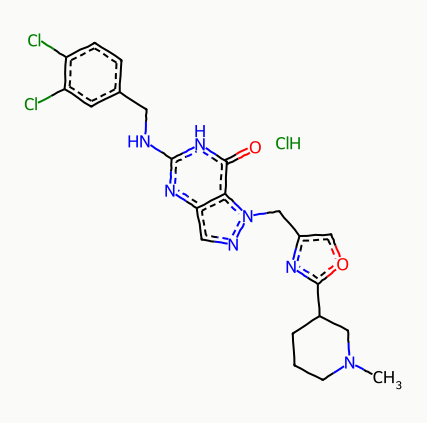 CN1CCCC(c2nc(Cn3ncc4nc(NCc5ccc(Cl)c(Cl)c5)[nH]c(=O)c43)co2)C1.Cl